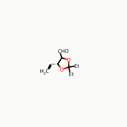 C=C[C@H]1OC(CC)(CC)OC1C=O